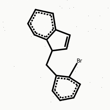 Brc1ccccc1CC1C=Cc2ccccc21